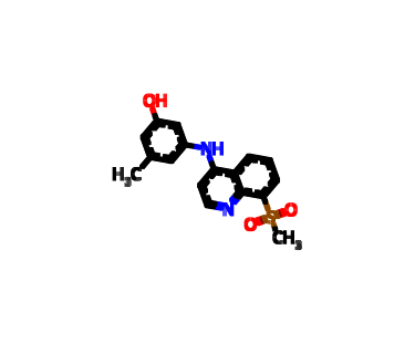 Cc1cc(O)cc(Nc2ccnc3c(S(C)(=O)=O)cccc23)c1